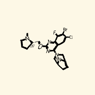 CN1CCC[C@H]1COc1nc(N2CC3CCC(C2)N3)c2cc(Cl)c(Br)c(F)c2n1